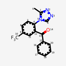 Cc1nncn1-c1ccc(C(F)(F)F)cc1C(=O)c1ccccc1